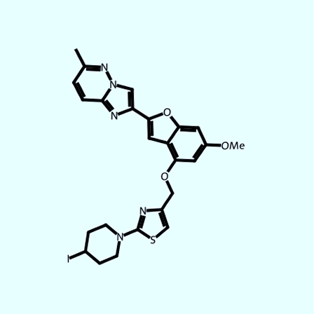 COc1cc(OCc2csc(N3CCC(I)CC3)n2)c2cc(-c3cn4nc(C)ccc4n3)oc2c1